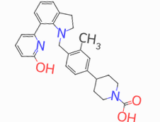 Cc1cc(C2CCN(C(=O)O)CC2)ccc1CN1CCc2cccc(-c3cccc(O)n3)c21